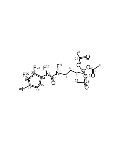 CC(=O)O[Si](CCCN(F)C(=O)N(F)c1ccc(F)c(F)c1F)(OC(C)=O)OC(C)=O